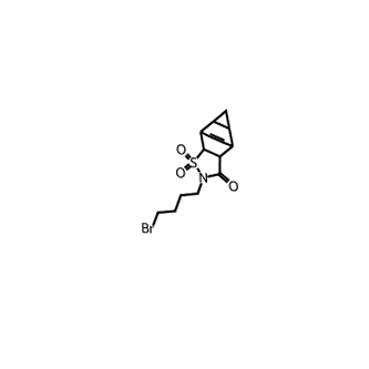 O=C1C2C3C=CC(C4CC34)C2S(=O)(=O)N1CCCCBr